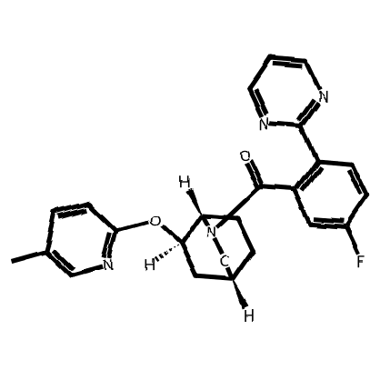 Cc1ccc(O[C@@H]2C[C@H]3CC[C@@H]2N(C(=O)c2cc(F)ccc2-c2ncccn2)C3)nc1